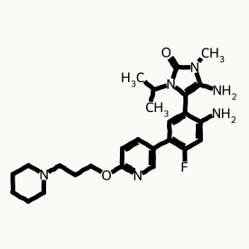 CC(C)n1c(-c2cc(-c3ccc(OCCCN4CCCCC4)nc3)c(F)cc2N)c(N)n(C)c1=O